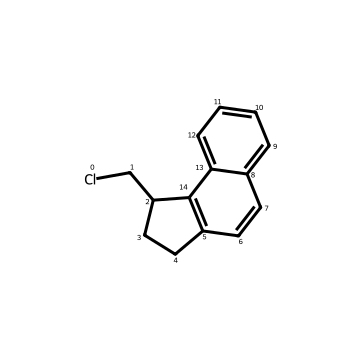 ClCC1CCc2ccc3ccccc3c21